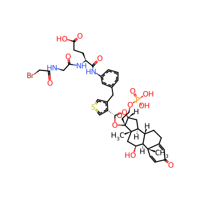 C[C@]12C=CC(=O)C=C1CC[C@@H]1[C@@H]2[C@@H](O)C[C@@]2(C)[C@H]1C[C@H]1O[C@@H](c3cscc3Cc3cccc(NC(=O)[C@H](CCC(=O)O)NC(=O)CNC(=O)CBr)c3)O[C@]12C(=O)COP(=O)(O)O